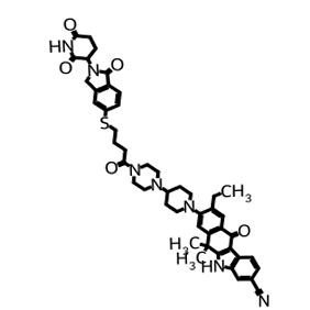 CCc1cc2c(cc1N1CCC(N3CCN(C(=O)CCCSc4ccc5c(c4)CN(C4CCC(=O)NC4=O)C5=O)CC3)CC1)C(C)(C)c1[nH]c3cc(C#N)ccc3c1C2=O